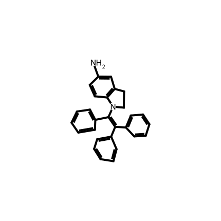 Nc1ccc2c(c1)CCN2C(=C(c1ccccc1)c1ccccc1)c1ccccc1